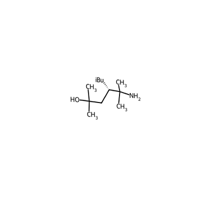 CCC(C)[C@@H](CC(C)(C)O)C(C)(C)N